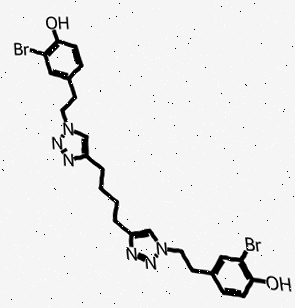 Oc1ccc(CCn2cc(CCCCc3cn(CCc4ccc(O)c(Br)c4)nn3)nn2)cc1Br